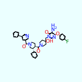 Nc1c(Oc2ccc(F)cc2)ncn(CC2(O)CCN(C(=O)[C@@H]3CCN(C(=O)c4cncc(-c5ccccc5)c4)C[C@H]3c3ccccc3)CC2)c1=O